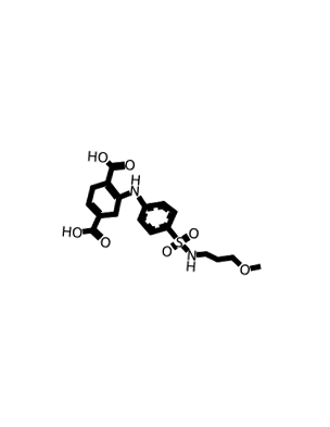 COCCCNS(=O)(=O)c1ccc(NC2=C(C(=O)O)CC=C(C(=O)O)C2)cc1